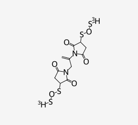 [3H]SOSC1CC(=O)N(CC(=C)N2C(=O)CC(SOS[3H])C2=O)C1=O